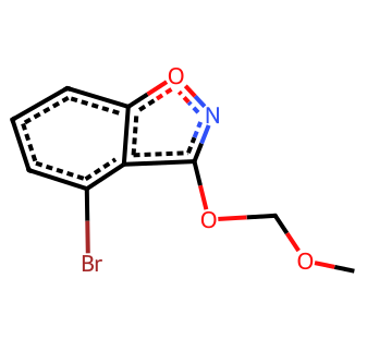 COCOc1noc2cccc(Br)c12